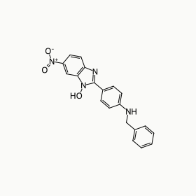 O=[N+]([O-])c1ccc2nc(-c3ccc(NCc4ccccc4)cc3)n(O)c2c1